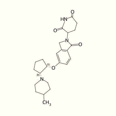 CC1CCN([C@@H]2CCC[C@@H]2Oc2ccc3c(c2)CN(C2CCC(=O)NC2=O)C3=O)CC1